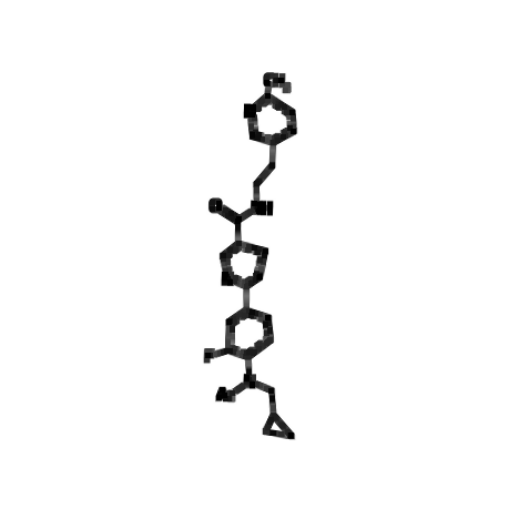 CC(=O)N(CC1CC1)c1ccc(-c2ccc(C(=O)NCCc3ccc(C)nc3)cn2)cc1F